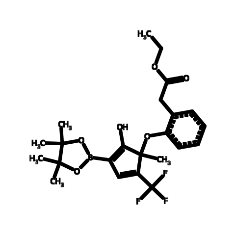 CCOC(=O)Cc1ccccc1OC1(C)C(C(F)(F)F)=CC(B2OC(C)(C)C(C)(C)O2)=C1O